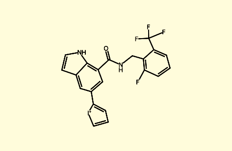 O=C(NCc1c(F)cccc1C(F)(F)F)c1cc(C2=CC=C[I+]2)cc2cc[nH]c12